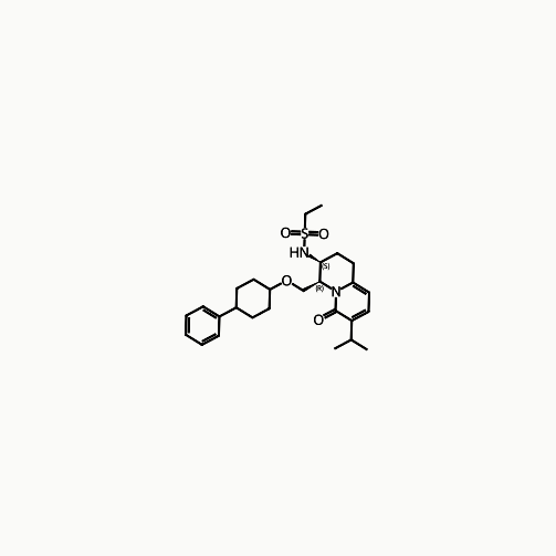 CCS(=O)(=O)N[C@H]1CCc2ccc(C(C)C)c(=O)n2[C@H]1COC1CCC(c2ccccc2)CC1